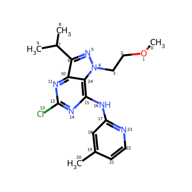 COCCn1nc(C(C)C)c2nc(Cl)nc(Nc3cc(C)ccn3)c21